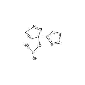 OB(O)OC1(c2cccs2)C=CN=N1